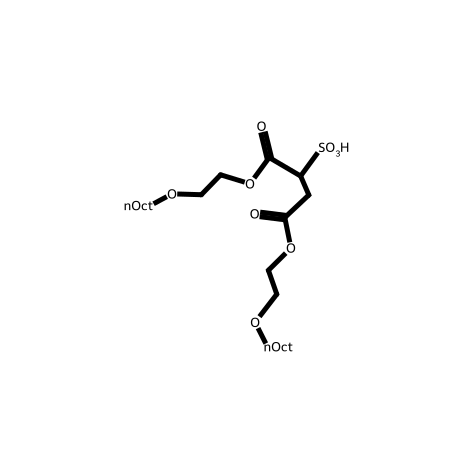 CCCCCCCCOCCOC(=O)CC(C(=O)OCCOCCCCCCCC)S(=O)(=O)O